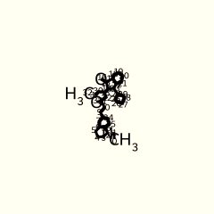 CCN1CCCc2cc(C=CC3=C/C(=C4/C(=O)c5ccccc5C4c4ccccc4)C=C(C)O3)ccc21